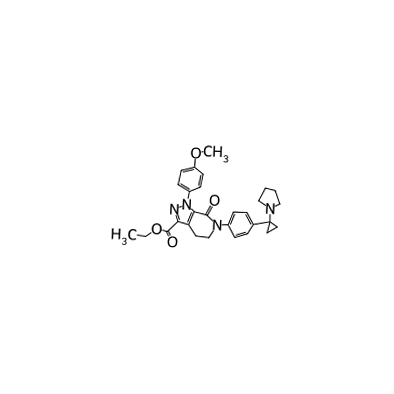 CCOC(=O)c1nn(-c2ccc(OC)cc2)c2c1CCN(c1ccc(C3(N4CCCC4)CC3)cc1)C2=O